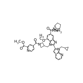 COC(=O)c1cc(C(=O)N2CC(Cn3c(-c4cc5cccnc5n4CC4CC4)nc4cc(C(=O)N5CC6CCC5[C@@H]6N)cc(OC)c43)C2)ccn1